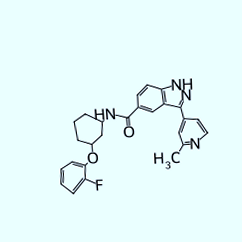 Cc1cc(-c2n[nH]c3ccc(C(=O)NC4CCCC(Oc5ccccc5F)C4)cc23)ccn1